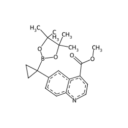 COC(=O)c1ccnc2ccc(C3(B4OC(C)(C)C(C)(C)O4)CC3)cc12